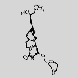 CCC(O)C#Cc1ccc2c(c1)CCn1c-2cc(OCC2COCCO2)nc1=O